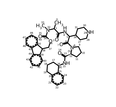 CC(C(=O)NC(C(=O)N1CCC[C@H]1C(=O)N[C@@H]1CCCc2ccccc21)C1CCNCC1)N(C)C(=O)OCC1c2ccccc2-c2ccccc21